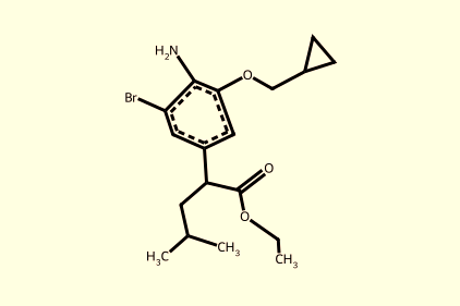 CCOC(=O)C(CC(C)C)c1cc(Br)c(N)c(OCC2CC2)c1